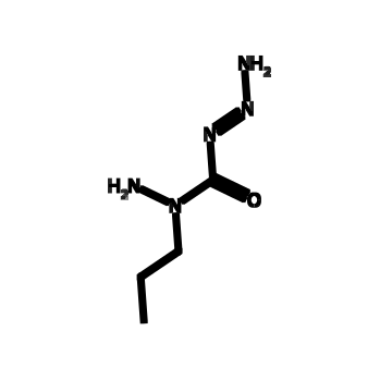 CCCN(N)C(=O)N=NN